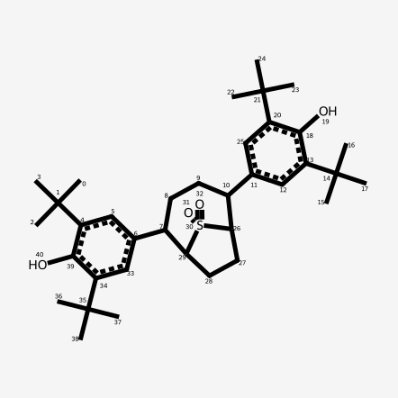 CC(C)(C)c1cc(C2CCC(c3cc(C(C)(C)C)c(O)c(C(C)(C)C)c3)C3CCC2S3(=O)=O)cc(C(C)(C)C)c1O